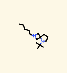 CCCCCN1CC2(CCCN2C(C)(C)C)C1